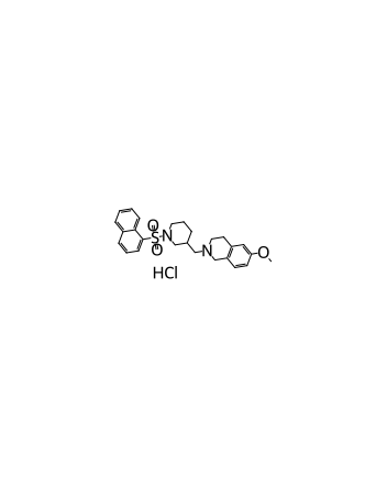 COc1ccc2c(c1)CCN(CC1CCCN(S(=O)(=O)c3cccc4ccccc34)C1)C2.Cl